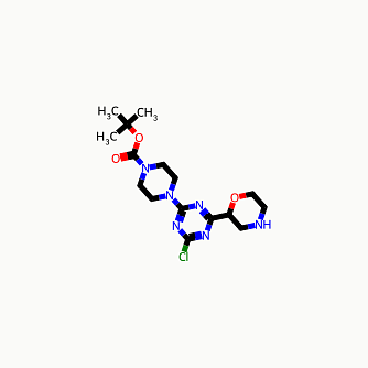 CC(C)(C)OC(=O)N1CCN(c2nc(Cl)nc(C3CNCCO3)n2)CC1